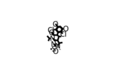 COc1cc(OC)c(Cl)c(C2C(=O)N(C(C)C)C3=NC([S+](C)[O-])=NC(C)C3C2C)c1Cl